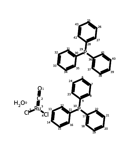 O.O=[C]=[Ru]([Cl])[Cl].c1ccc(P(c2ccccc2)c2ccccc2)cc1.c1ccc(P(c2ccccc2)c2ccccc2)cc1